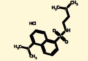 CN(C)CCNS(=O)(=O)c1cccc2c(N(C)C)cccc12.Cl